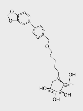 C[C@@H](O)[C@H]1[C@@H](O)[C@H](O)[C@@H](O)CN1CCCCCOCc1ccc(-c2ccc3c(c2)OCO3)cc1